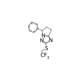 FC(F)(F)CSc1nc2n(n1)C(c1ccccc1)CC2